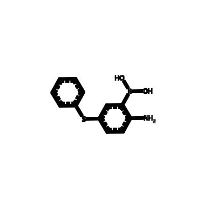 Nc1ccc(Sc2ccccc2)cc1B(O)O